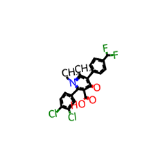 CCn1c(C)c(-c2ccc(C(F)F)cc2)c(=O)c(C(=O)O)c1-c1ccc(Cl)c(Cl)c1